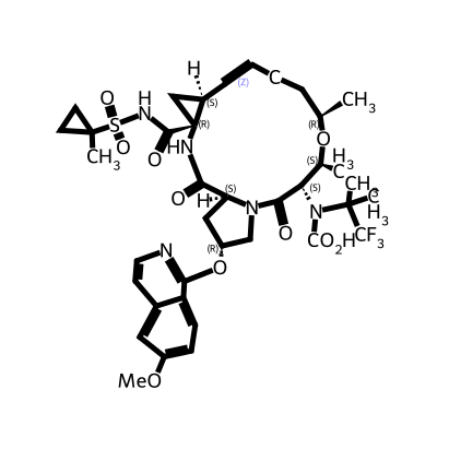 COc1ccc2c(O[C@@H]3C[C@H]4C(=O)N[C@]5(C(=O)NS(=O)(=O)C6(C)CC6)C[C@H]5/C=C\CC[C@@H](C)O[C@@H](C)[C@H](N(C(=O)O)C(C)(C)C(F)(F)F)C(=O)N4C3)nccc2c1